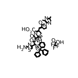 Cc1cnc(N2CCC(=CC3=C(C(=O)O)N4C(=O)[C@@H](NC(=O)C(=NOC(c5ccccc5)(c5ccccc5)c5ccccc5)c5csc(N)n5)[C@H]4SC3)C2=O)c(C)n1.O=C(O)C(F)(F)F